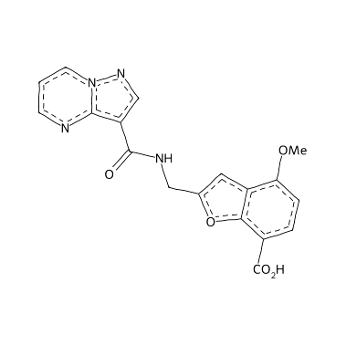 COc1ccc(C(=O)O)c2oc(CNC(=O)c3cnn4cccnc34)cc12